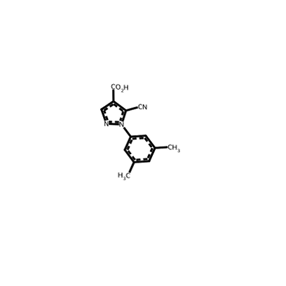 Cc1cc(C)cc(-n2ncc(C(=O)O)c2C#N)c1